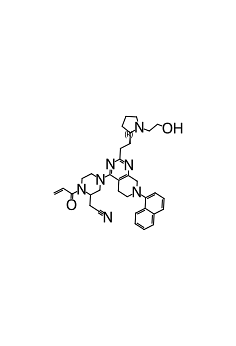 C=CC(=O)N1CCN(c2nc(CC[C@H]3CCCN3CCO)nc3c2CCN(c2cccc4ccccc24)C3)CC1CC#N